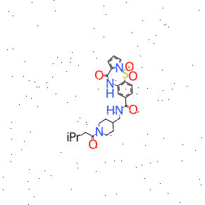 CC(C)CC(=O)N1CCC(CNC(=O)c2ccc3c(c2)NC(=O)c2cccn2S3(=O)=O)CC1